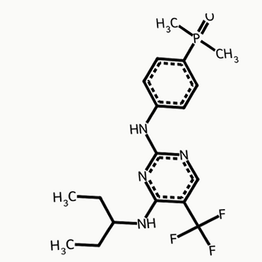 CCC(CC)Nc1nc(Nc2ccc(P(C)(C)=O)cc2)ncc1C(F)(F)F